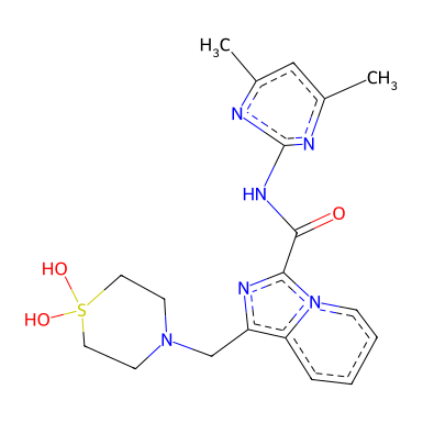 Cc1cc(C)nc(NC(=O)c2nc(CN3CCS(O)(O)CC3)c3ccccn23)n1